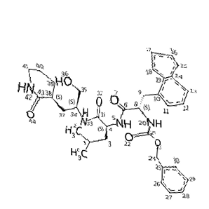 CC(C)C[C@H](NC(=O)[C@H](Cc1cccc2ccccc12)NC(=O)OCc1ccccc1)C(=O)N[C@H](CO)C[C@@H]1CCCNC1=O